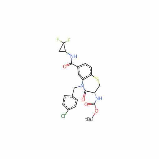 CC(C)(C)OC(=O)N[C@H]1CSc2ccc(C(=O)NC3CC3(F)F)cc2N(Cc2ccc(Cl)cc2)C1=O